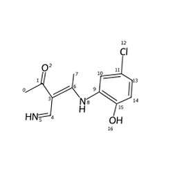 CC(=O)/C(C=N)=C(\C)Nc1cc(Cl)ccc1O